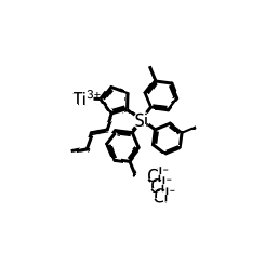 CCCCC1=C([Si](c2cccc(C)c2)(c2cccc(C)c2)c2cccc(C)c2)CC=[C]1[Ti+3].[Cl-].[Cl-].[Cl-]